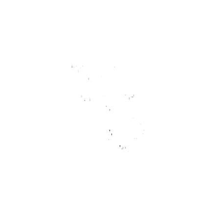 COc1ccccc1C(C)N=C(C)c1cccc2[nH]cnc12